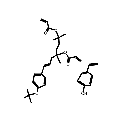 C=CC(=O)OC(C)(C)CCC(C)(CC=Cc1ccc(OC(C)(C)C)cc1)OC(=O)C=C.C=Cc1ccc(O)cc1